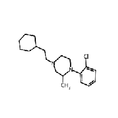 CC1CN(CCC2CCCCC2)CCN1c1ccccc1Cl